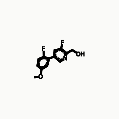 COc1ccc(F)c(-c2cnc(CO)c(F)c2)c1